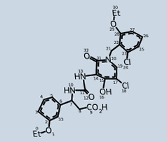 CCOc1cccc(C(CC(=O)O)NC(=O)Nc2c(O)c(Cl)cn(Cc3c(Cl)cccc3OCC)c2=O)c1